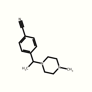 CC(c1ccc(C#N)cc1)N1CCN(C)CC1